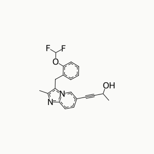 Cc1nc2ccc(C#CC(C)O)cn2c1Cc1ccccc1OC(F)F